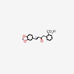 O=C(/C=C/c1ccc2c(c1)OCO2)Cc1ccccc1C(=O)O